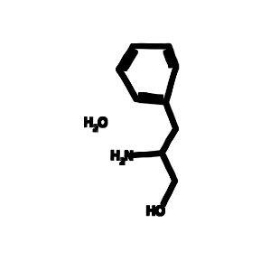 NC(CO)Cc1ccccc1.O